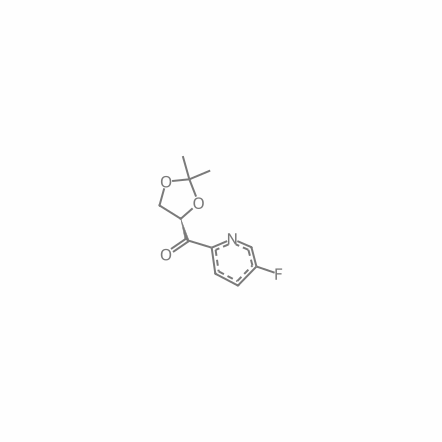 CC1(C)OC[C@H](C(=O)c2ccc(F)cn2)O1